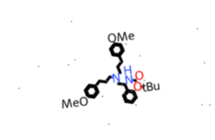 COc1ccc(CCCN(CCCc2ccc(OC)cc2)CC(NC(=O)OC(C)(C)C)c2ccccc2)cc1